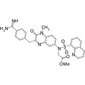 COC(=O)CN(c1ccc2c(c1)nc(Cc1ccc(C(=N)N)cc1)c(=O)n2C)S(=O)(=O)c1cccc2cccnc12